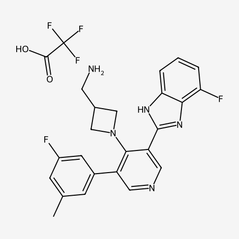 Cc1cc(F)cc(-c2cncc(-c3nc4c(F)cccc4[nH]3)c2N2CC(CN)C2)c1.O=C(O)C(F)(F)F